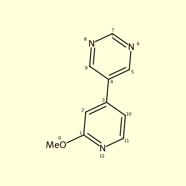 COc1cc(-c2cn[c]nc2)ccn1